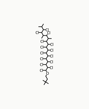 CC(C)C(Cl)C(Cl)C(C)C(Cl)C(C)C(Cl)C(Cl)C(Cl)C(Cl)C(Cl)C(Cl)C(Cl)C(Cl)C(Cl)C(Cl)C(Cl)OCCC(C)(C)C